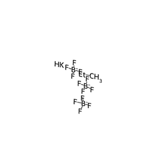 CCC.F[B-](F)(F)F.F[B-](F)(F)F.F[B-](F)(F)F.[KH]